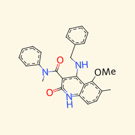 COc1c(C)ccc2[nH]c(=O)c(C(=O)N(C)c3ccccc3)c(NCc3ccccc3)c12